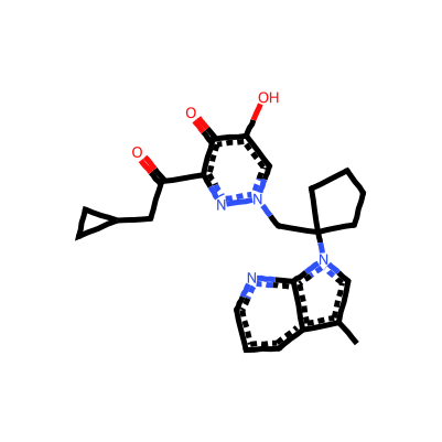 Cc1cn(C2(Cn3cc(O)c(=O)c(C(=O)CC4CC4)n3)CCCC2)c2ncccc12